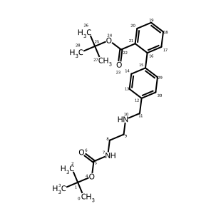 CC(C)(C)OC(=O)NCCNCc1ccc(-c2ccccc2C(=O)OC(C)(C)C)cc1